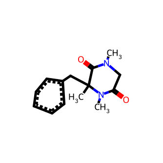 CN1CC(=O)N(C)C(C)(Cc2ccccc2)C1=O